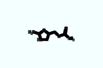 CC1NCC(COC(N)=O)O1